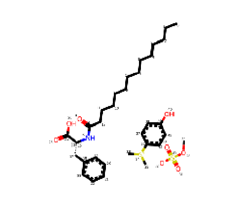 CCCCCCCCCCCCCC(=O)N[C@H](Cc1ccccc1)C(=O)O.COS(=O)(=O)[O-].C[S+](C)c1ccc(O)cc1